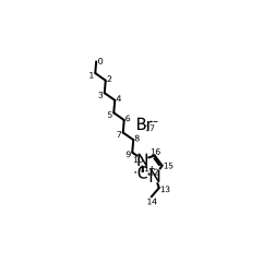 CCCCCCCCCCN1[C+]N(CC)C=C1.[Br-]